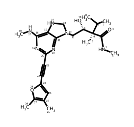 CNC(=O)[C@](C)(C(C)C)[C@@H](O)CN1CNc2c(NC)nc(C#Cc3cc(C)c(C)o3)nc21